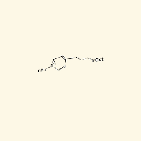 CCCCCCCCCCCc1cc[n+](CCCC)cc1